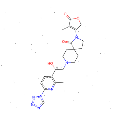 CC1=C(N2CCC3(CCN(C[C@@H](O)c4ccc(-n5cnnn5)nc4C)CC3)C2=O)COC1=O